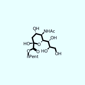 CCCCCOC(=O)[C@]1(O)C[C@H](O)[C@@H](NC(C)=O)[C@H]([C@H](O)[C@H](O)CO)O1